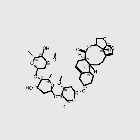 CO[C@@H]1CC(O[C@H]2[C@@H](O)CC(O[C@@H]3[C@@H](C)O[C@@H](O[C@H]4CC[C@@]5(C)C(=CC[C@H]6C(=O)OC7CO[C@]8(C)OC=C(CC[C@@H]65)[C@H]78)C4)C[C@H]3OC)O[C@@H]2C)O[C@H](C)[C@H]1O